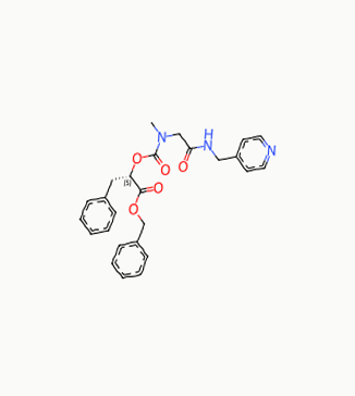 CN(CC(=O)NCc1ccncc1)C(=O)O[C@@H](Cc1ccccc1)C(=O)OCc1ccccc1